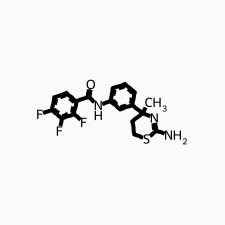 CC1(c2cccc(NC(=O)c3ccc(F)c(F)c3F)c2)CCSC(N)=N1